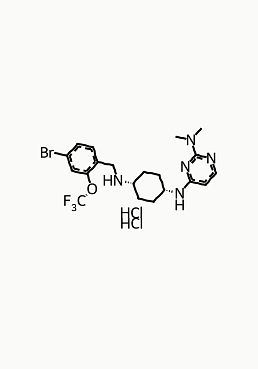 CN(C)c1nccc(N[C@H]2CC[C@@H](NCc3ccc(Br)cc3OC(F)(F)F)CC2)n1.Cl.Cl